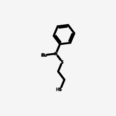 CCC(C)N(SCCS)c1ccccc1